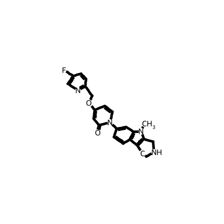 Cn1c2c(c3ccc(-n4ccc(OCc5ccc(F)cn5)cc4=O)cc31)CCNC2